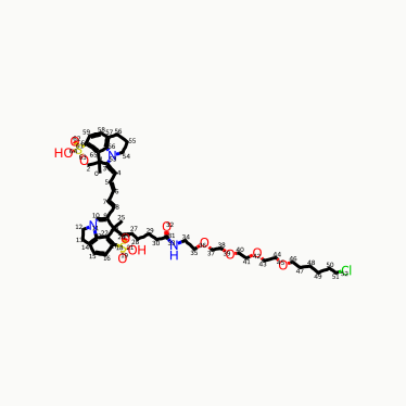 CC1(C)C(=CC=CC=CC2=CN3CCc4ccc(S(=O)(=O)O)c(c43)C2(C)CCCCCC(=O)NCCOCCOCCOCCOCCCCCCCl)N2CCCc3ccc(S(=O)(=O)O)c1c32